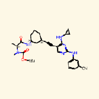 C[C@@H](C(=O)N[C@H]1CCC[C@@H](C#Cc2cnc(Nc3cccc(C#N)c3)nc2NC2CC2)C1)N(C)C(=O)OC(C)(C)C